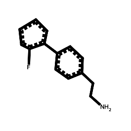 NCCc1ccc(-c2ccccc2F)cc1